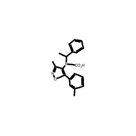 Cc1cccc(-c2onc(C)c2N(C(=O)O)C(C)c2ccccc2)c1